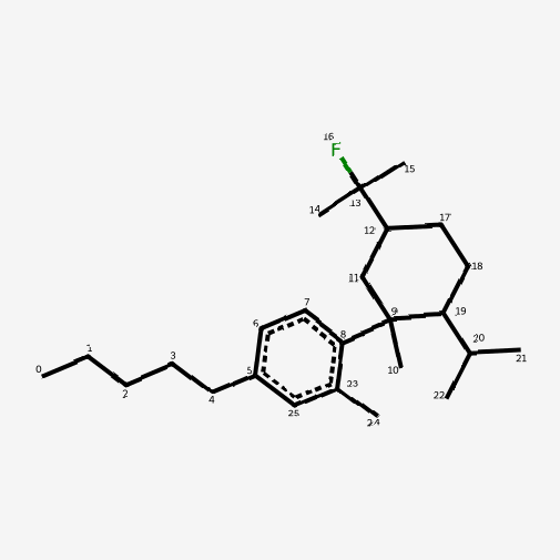 CCCCCc1ccc(C2(C)CC(C(C)(C)F)CCC2C(C)C)c(C)c1